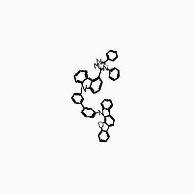 c1ccc(-c2nnc(-c3cccc4c3c3ccccc3n4-c3cccc(-c4cccc(-n5c6ccccc6c6ccc7c8ccccc8oc7c65)c4)c3)n2-c2ccccc2)cc1